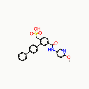 COc1ccc(NC(=O)c2ccc(CS(=O)(=O)O)c(-c3ccc(-c4ccccc4)cc3)c2)cn1